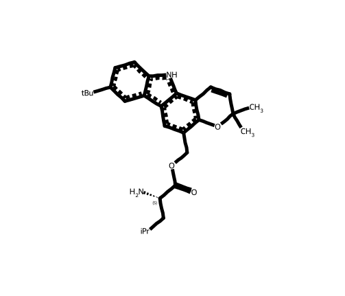 CC(C)C[C@H](N)C(=O)OCc1cc2c([nH]c3ccc(C(C)(C)C)cc32)c2c1OC(C)(C)C=C2